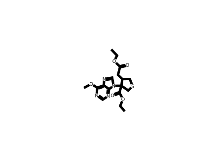 CCOC(=O)CC1CSCC1(C(=O)OCC)n1cnc2c(OC)ncnc21